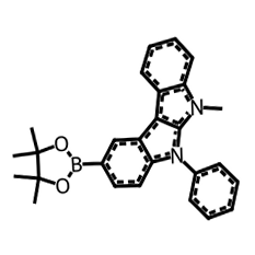 Cn1c2ccccc2c2c3cc(B4OC(C)(C)C(C)(C)O4)ccc3n(-c3ccccc3)c21